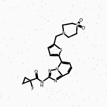 O=C(Nc1nc2cccc(-c3ccc(CN4CCS(=O)(=O)CC4)s3)n2n1)C1(F)CC1